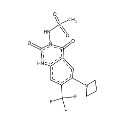 CS(=O)(=O)Nn1c(=O)[nH]c2cc(C(F)(F)F)c(N3CCC3)cc2c1=O